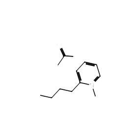 CC(=O)[O-].CCCCc1cccc[n+]1C